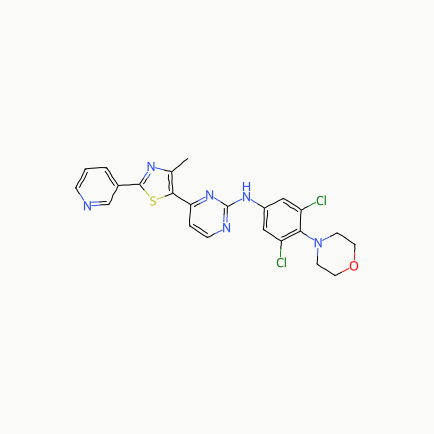 Cc1nc(-c2cccnc2)sc1-c1ccnc(Nc2cc(Cl)c(N3CCOCC3)c(Cl)c2)n1